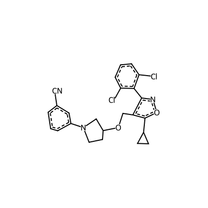 N#Cc1cccc(N2CCC(OCc3c(-c4c(Cl)cccc4Cl)noc3C3CC3)C2)c1